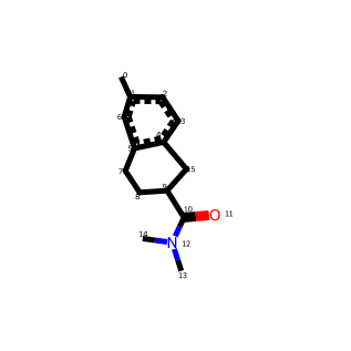 Cc1ccc2c(c1)CCC(C(=O)N(C)C)C2